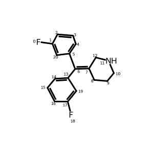 Fc1cccc(C(=C2CCCNC2)c2cccc(F)c2)c1